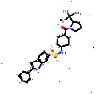 CC(C)(O)C1CCCN1C(=O)C1CCC(NS(=O)(=O)c2ccc3cc(-c4ccccc4)[nH]c3c2)CC1